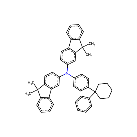 CC1(C)c2ccccc2-c2cc(N(c3ccc(C4(c5ccccc5)CCCCC4)cc3)c3ccc4c(c3)C(C)(C)c3ccccc3-4)ccc21